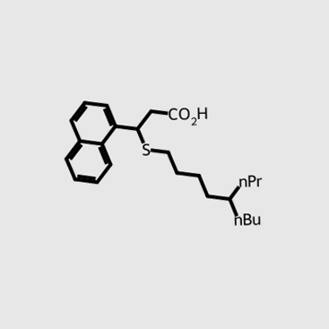 CCCCC(CCC)CCCCSC(CC(=O)O)c1cccc2ccccc12